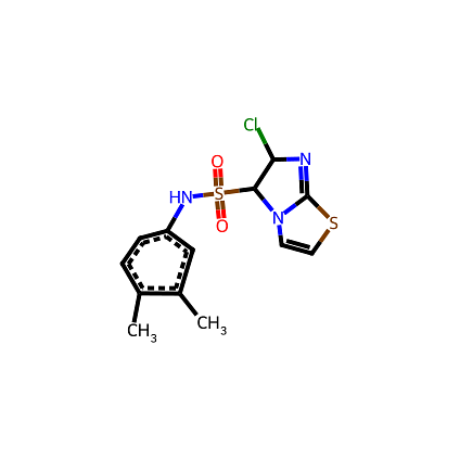 Cc1ccc(NS(=O)(=O)C2C(Cl)N=C3SC=CN32)cc1C